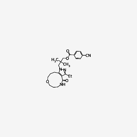 CCc1nn(CC(C)(C)COC(=O)c2ccc(C#N)cc2)c2c1C(=O)NCCCOCCC2